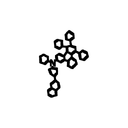 C1=CCCC(N(c2ccc(-c3ccc4ccccc4c3)cc2)c2ccc3c(c2)c2ccccc2c2c(-c4ccccc4)cc(-c4ccccc4)c(-c4ccccc4)c32)=C1